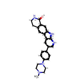 CN1CCN(c2ccc(-c3cnc4[nH]c5cc6c(cc5c4c3)CCNC6=O)cc2)CC1